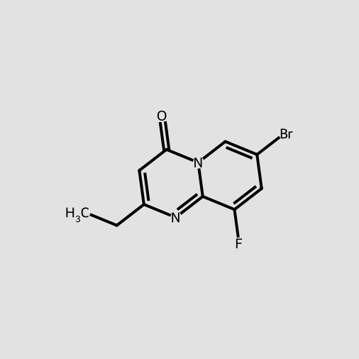 CCc1cc(=O)n2cc(Br)cc(F)c2n1